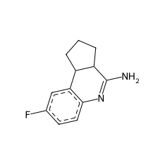 NC1=Nc2ccc(F)cc2C2CCCC12